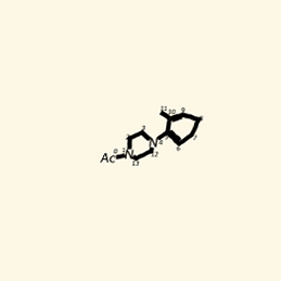 CC(=O)N1CCN(C2=CC[CH]C=C2C)CC1